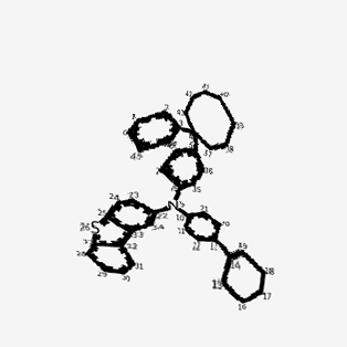 c1ccc(C2(c3ccc(N(c4ccc(C5CCCCC5)cc4)c4ccc5sc6ccccc6c5c4)cc3)CCCCCCC2)cc1